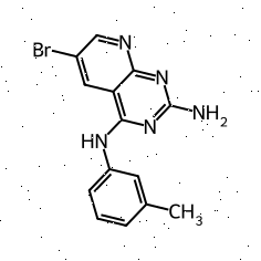 Cc1cccc(Nc2nc(N)nc3ncc(Br)cc23)c1